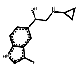 O[C@@H](CNC1CC1)c1ccc2[nH]cc(F)c2c1